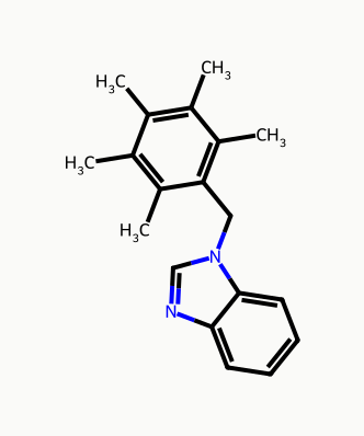 Cc1c(C)c(C)c(Cn2cnc3ccccc32)c(C)c1C